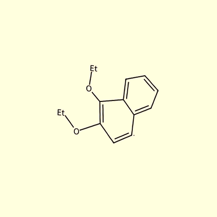 CCOc1c[c]c2ccccc2c1OCC